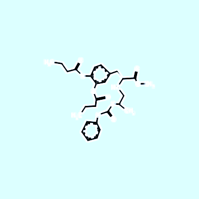 CCCC(=O)Oc1ccc(C[C@H](NCC(C)OC(=O)Oc2ccccc2)C(=O)OC)cc1OC(=O)CCC